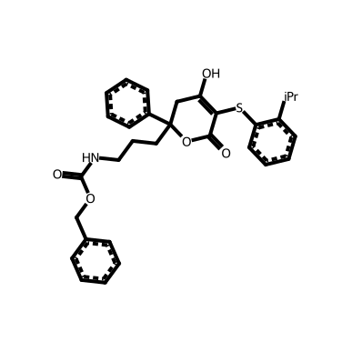 CC(C)c1ccccc1SC1=C(O)CC(CCCNC(=O)OCc2ccccc2)(c2ccccc2)OC1=O